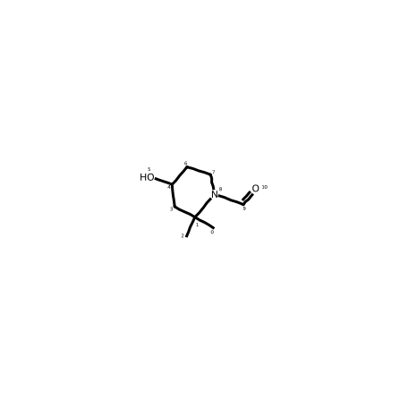 CC1(C)CC(O)CCN1C=O